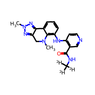 [2H]C([2H])([2H])NC(=O)c1cnccc1Nc1cccc2c1N(C)Cc1nn(C)nc1-2